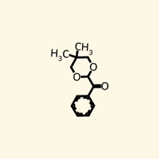 CC1(C)COC(C(=O)c2ccccc2)OC1